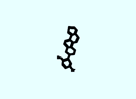 Brc1ccc(Br)c(C2CCc3c(ccc4c3ccc3ccccc34)C2)c1